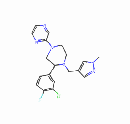 Cn1cc(CN2CCN(c3cnccn3)CC2c2ccc(F)c(Cl)c2)cn1